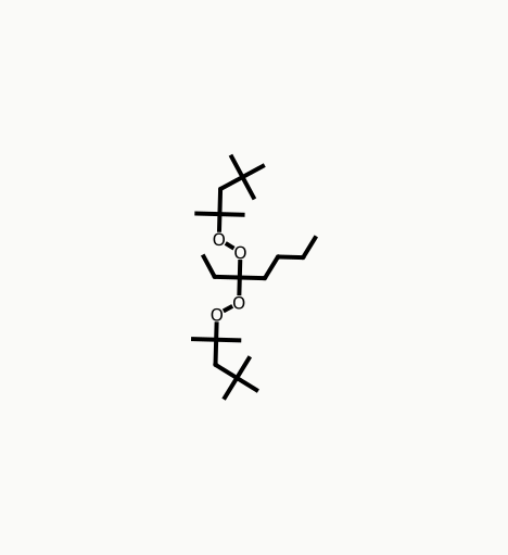 CCCCC(CC)(OOC(C)(C)CC(C)(C)C)OOC(C)(C)CC(C)(C)C